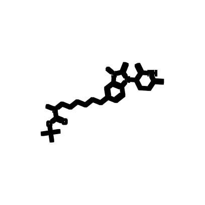 C=C1CCC(N2C(=C)N(C)c3cc(CCCCCCN(C)C(=O)OC(C)(C)C)ccc32)C(=C)N1